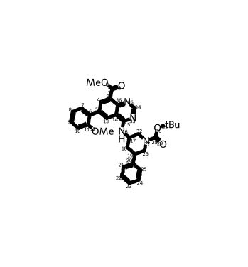 COC(=O)c1cc(-c2ccccc2OC)cc2c(NC3CC(c4ccccc4)CN(C(=O)OC(C)(C)C)C3)ncnc12